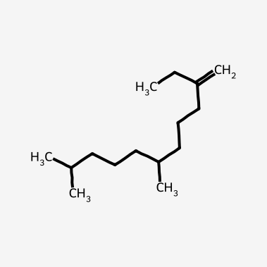 C=C(CC)CCCC(C)CCCC(C)C